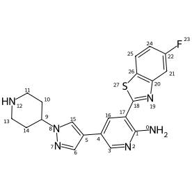 Nc1ncc(-c2cnn(C3CCNCC3)c2)cc1-c1nc2cc(F)ccc2s1